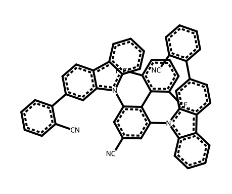 N#Cc1cc(-n2c3ccccc3c3ccc(-c4ccccc4C#N)cc32)c(-c2c(C(F)(F)F)cccc2C(F)(F)F)c(-n2c3ccccc3c3ccc(-c4ccccc4C#N)cc32)c1